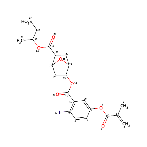 C=C(C)C(=O)Oc1ccc(I)c(C(=O)OC2CC3OC2CC3C(=O)OC(CS(=O)(=O)O)C(F)(F)F)c1